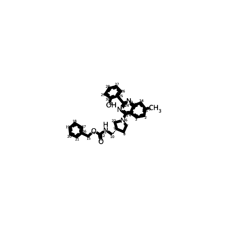 Cc1ccc2c(N3CC[C@H](CNC(=O)OCc4ccccc4)C3)nc(-c3ccccc3O)nc2c1